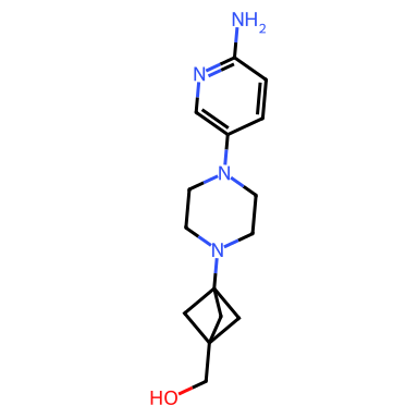 Nc1ccc(N2CCN(C34CC(CO)(C3)C4)CC2)cn1